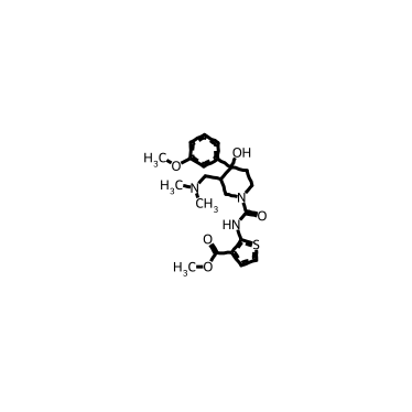 COC(=O)c1ccsc1NC(=O)N1CCC(O)(c2cccc(OC)c2)C(CN(C)C)C1